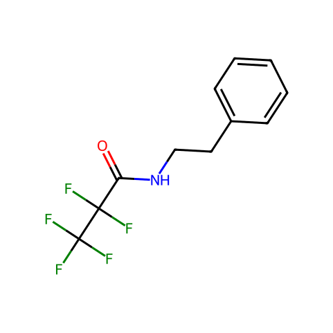 O=C(NCCc1ccccc1)C(F)(F)C(F)(F)F